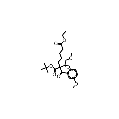 CCOC(=O)CCCCC(C(=O)COC)(C(=O)OC(C)(C)C)C(=O)c1cccc(OC)c1